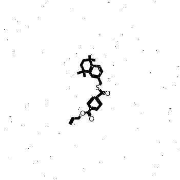 C=CCOC(=O)c1ccc(C(=O)SCc2ccc3c(c2)C(C)(C)CCC3(C)C)cc1